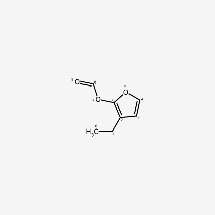 CCc1ccoc1O[C]=O